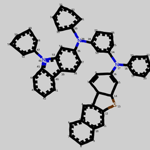 C1=CC2c3cc4ccccc4cc3SC2C=C1N(c1ccccc1)c1cccc(N(c2ccccc2)c2ccc3c4ccccc4n(-c4ccccc4)c3c2)c1